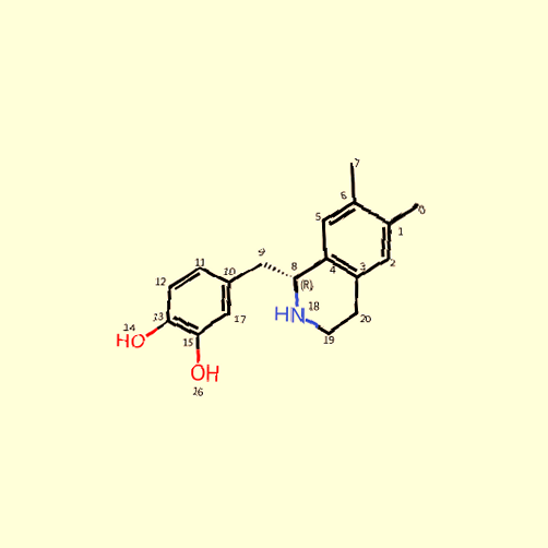 Cc1cc2c(cc1C)[C@@H](Cc1ccc(O)c(O)c1)NCC2